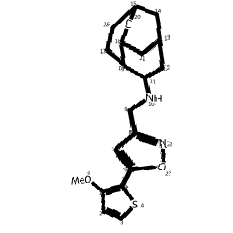 COc1ccsc1-c1cc(CNC2CC3CC4CCC2C(C4)C3)no1